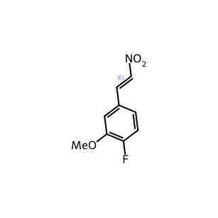 COc1cc(/C=C/[N+](=O)[O-])ccc1F